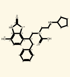 O=C(O)N(CCNC1CCCC1)CC(Cc1ccccc1)c1ccc(O)c2[nH]c(=O)sc12